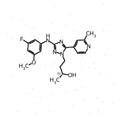 COc1cc(F)cc(Nc2nc(-c3ccnc(C)c3)n(CC[C@H](C)O)n2)c1